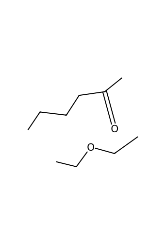 CCCCC(C)=O.CCOCC